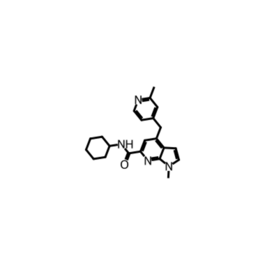 Cc1cc(Cc2cc(C(=O)NC3CCCCC3)nc3c2ccn3C)ccn1